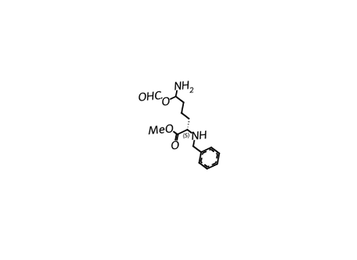 COC(=O)[C@H](CCCC(N)OC=O)NCc1ccccc1